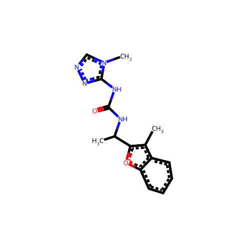 Cc1c(C(C)NC(=O)Nc2nncn2C)oc2ccccc12